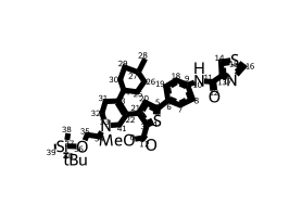 COC(=O)c1sc(-c2ccc(NC(=O)c3cscn3)cc2)cc1C1=C(C2CCC(C)CC2)CCN(CCO[Si](C)(C)C(C)(C)C)C1